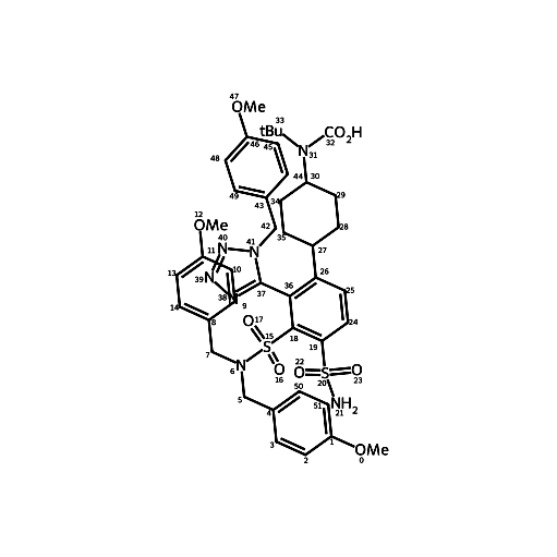 COc1ccc(CN(Cc2ccc(OC)cc2)S(=O)(=O)c2c(S(N)(=O)=O)ccc(C3CCC(N(C(=O)O)C(C)(C)C)CC3)c2-c2nnnn2Cc2ccc(OC)cc2)cc1